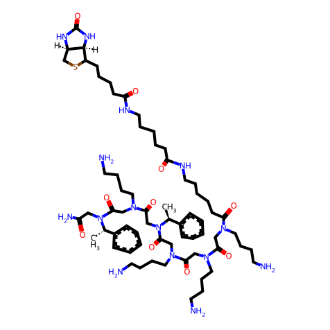 C[C@@H](c1ccccc1)N(CC(N)=O)C(=O)CN(CCCCN)C(=O)CN(C(=O)CN(CCCCN)C(=O)CN(CCCCN)C(=O)CN(CCCCN)C(=O)CCCCCNC(=O)CCCCCNC(=O)CCCCC1SC[C@H]2NC(=O)N[C@@H]12)[C@@H](C)c1ccccc1